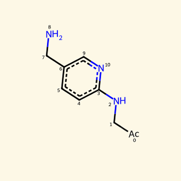 CC(=O)CNc1ccc(CN)cn1